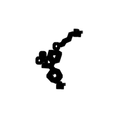 O=S1(=O)C=C(c2ccc(Br)cc2)c2ccc(OCCCCBr)cc21